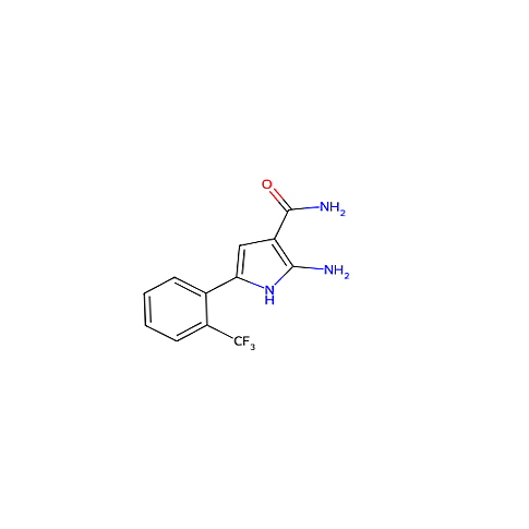 NC(=O)c1cc(-c2ccccc2C(F)(F)F)[nH]c1N